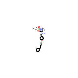 CC(CNS(C)(=O)=O)NCc1ccc(OCCCCc2ccccc2)cc1